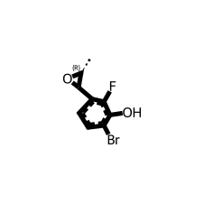 C[C@H]1OC1c1ccc(Br)c(O)c1F